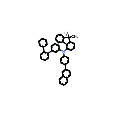 CC1(C)c2ccccc2-c2c(N(c3ccc(-c4ccc5ccccc5c4)cc3)c3cccc(-c4ccccc4-c4ccccc4)c3)cccc21